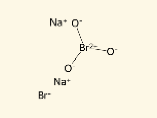 [Br-].[Na+].[Na+].[O-][Br+2]([O-])[O-]